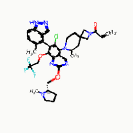 C=CC(=O)N1CC2(CCN(c3c(Cl)c(-c4c(C)ccc5[nH]ncc45)c(OCC(F)(F)F)c4nc(OC[C@@H]5CCCN5C)ncc34)C(C)C2)C1